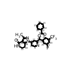 Cc1nn(-c2ccnc(C(OC(=O)c3ccccc3)c3cc(F)cc(C(F)(F)F)c3)c2)c2c1C(=O)NCC2